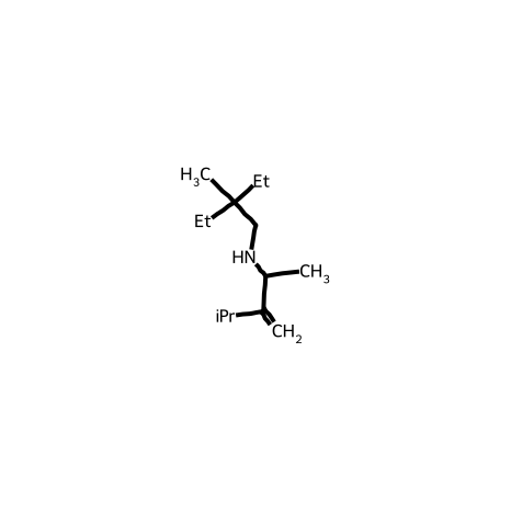 C=C(C(C)C)C(C)NCC(C)(CC)CC